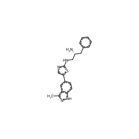 Cc1n[nH]c2ccc(-c3cnc(NC[C@H](N)Cc4ccccc4)s3)cc12